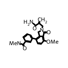 C=C(CN1Cc2c(-c3cccc(C(=O)NC)c3)ccc(OC)c2C1=O)C(N)=O